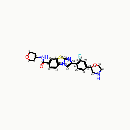 O=C(NC1CCOCC1)c1ccc2c(c1)sc1nc(-c3ccc(C4CNCCO4)cc3F)cn12